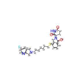 O=C1CCC(N2Cc3c(SCCCCCCCN4Cc5cc(F)cnc5C4)cccc3C2=O)C(=O)N1